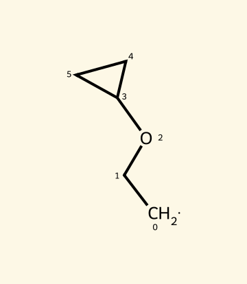 [CH2]COC1CC1